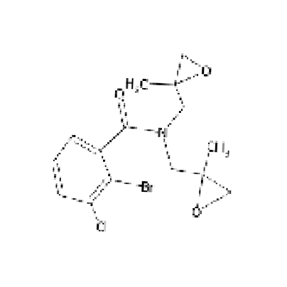 CC1(CN(CC2(C)CO2)C(=O)c2cccc(Cl)c2Br)CO1